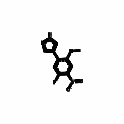 COc1cc([N+](=O)[O-])c(F)cc1-c1cn[nH]c1